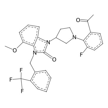 COc1cccc2c1n(Cc1ccccc1C(F)(F)F)c(=O)n2C1CCN(c2c(F)cccc2C(C)=O)C1